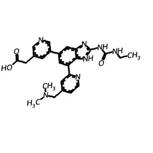 CCNC(=O)Nc1nc2cc(-c3cncc(CC(=O)O)c3)cc(-c3cc(CN(C)C)ccn3)c2[nH]1